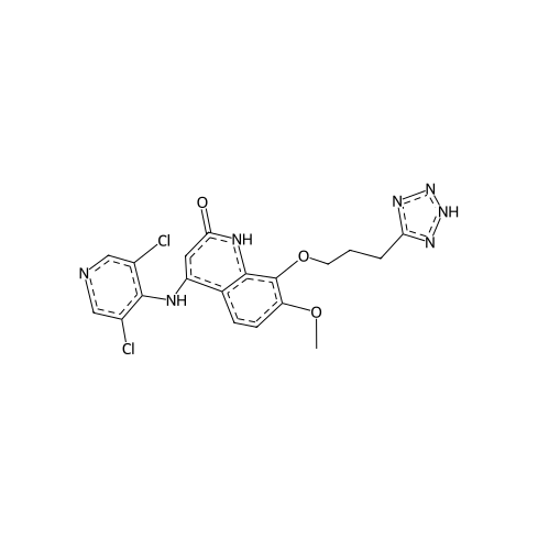 COc1ccc2c(Nc3c(Cl)cncc3Cl)cc(=O)[nH]c2c1OCCCc1nn[nH]n1